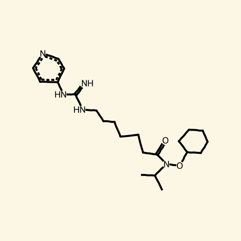 CC(C)N(OC1CCCCC1)C(=O)CCCCCCNC(=N)Nc1ccncc1